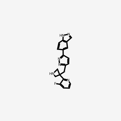 Fc1cccnc1C1([CH]c2ccc(-c3ccc4[nH]ncc4c3)nn2)CNC1